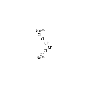 [Cl-].[Cl-].[Cl-].[Cl-].[Cl-].[Cl-].[Nd+3].[Sm+3]